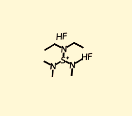 CCN(CC)[S+](N(C)C)N(C)C.F.F